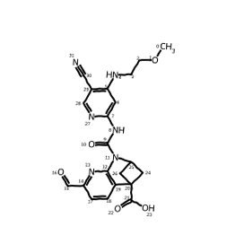 COCCNc1cc(NC(=O)N2c3nc(C=O)ccc3C3(C(=O)O)CC2C3)ncc1C#N